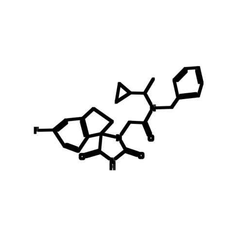 CC(C1CC1)N(Cc1ccccc1)C(=O)CN1C(=O)NC(=O)C12CCc1cc(F)ccc12